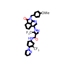 COc1ccc(CN2C(=O)c3cccc4c(-n5ncc(C(=O)Nc6ccc(N7C=C=CC=N7)c(C(F)(F)F)c6)c5C(F)(F)F)cnc2c34)cc1